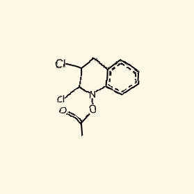 CC(=O)ON1c2ccccc2CC(Cl)C1Cl